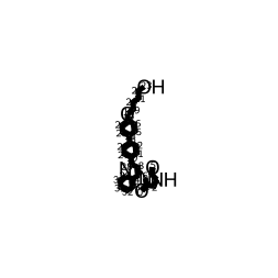 O=C1CNC(=O)N1c1cc(-c2ccc(-c3ccc(OCCCCO)cc3)cc2)nc2ccccc12